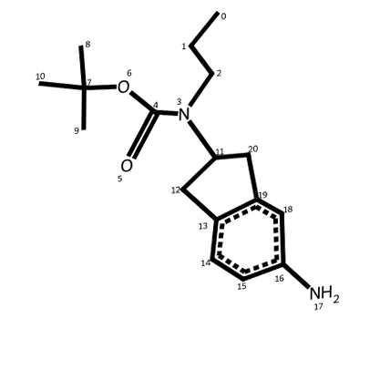 CCCN(C(=O)OC(C)(C)C)C1Cc2ccc(N)cc2C1